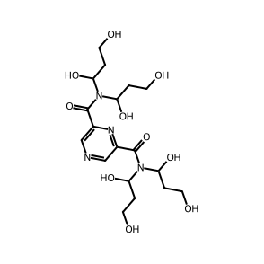 O=C(c1cncc(C(=O)N(C(O)CCO)C(O)CCO)n1)N(C(O)CCO)C(O)CCO